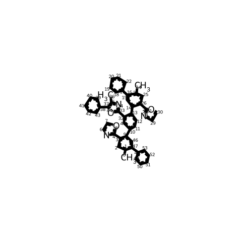 Cc1cc(-c2ncco2)c(-c2ccc(-c3cc(-c4ccccc4)c(C)cc3-c3ncco3)c(-c3nc(C)c(-c4ccccc4)o3)c2)cc1-c1ccccc1